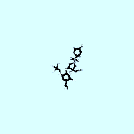 N#Cc1cc(OCC(F)(F)F)c(OC2CN(S(=O)(=O)c3ccc(Cl)cn3)C[C@@]2(O)CO)cc1F